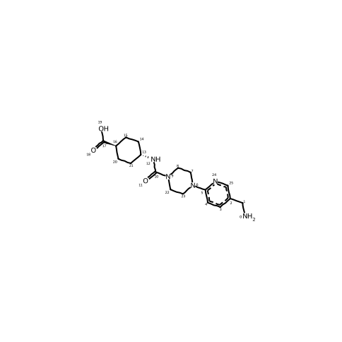 NCc1ccc(N2CCN(C(=O)N[C@H]3CC[C@H](C(=O)O)CC3)CC2)nc1